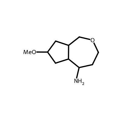 COC1CC2COCCC(N)C2C1